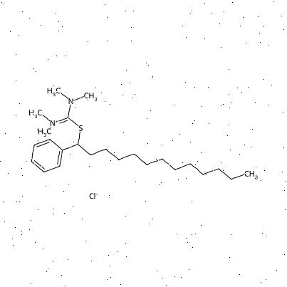 CCCCCCCCCCCCC(SC(N(C)C)=[N+](C)C)c1ccccc1.[Cl-]